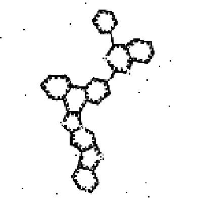 c1ccc(-c2nc(-c3ccc4c(c3)c3ccccc3c3nc5cc6c(cn5c43)oc3ccccc36)nc3ccccc23)cc1